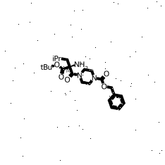 CC(C)C[C@@](N)(C(=O)OC(C)(C)C)C(=O)N1CCN(C(=O)OCc2ccccc2)CC1